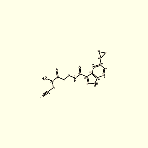 CN(CC#N)C(=O)CCNC(=O)c1c[nH]c2ncc(C3CC3)nc12